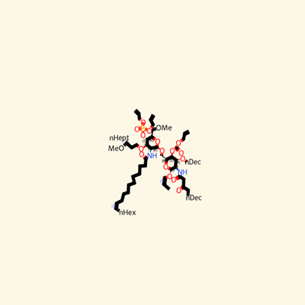 C=CCOC(=O)O[C@H]1[C@H](OCCCCCCCCCC)[C@@H](NC(=O)CC(=O)CCCCCCCCCCC)[C@H](O/C=C\C)O[C@@H]1CO[C@@H]1O[C@H](COC)[C@@H](OP(=O)(OCC=C)OCC=C)[C@H](OCC[C@@H](CCCCCCC)OC)[C@H]1NC(=O)CCCCCCCCC/C=C\CCCCCC